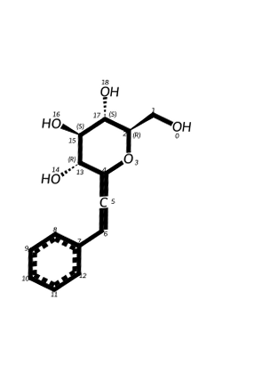 OC[C@H]1OC(=C=Cc2ccccc2)[C@H](O)[C@@H](O)[C@@H]1O